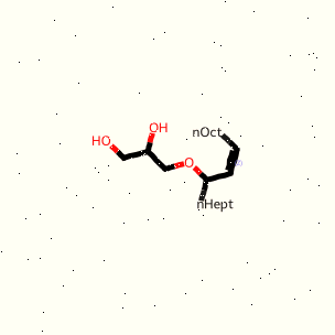 CCCCCCCC/C=C\C(CCCCCCC)OCC(O)CO